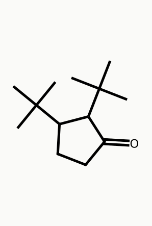 CC(C)(C)C1CCC(=O)C1C(C)(C)C